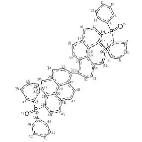 O=P(c1ccccc1)(c1ccccc1)c1ccc2ccc3c(-c4ccc5ccc6c(P(=O)(c7ccccc7)c7ccccc7)ccc7ccc4c5c76)ccc4ccc1c2c43